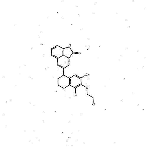 N#Cc1cc2c(c(Cl)c1OCCCl)CCCC2c1cc2c3c(cccc3c1)NC2=O